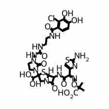 CC(C)(O/N=C(\C(=O)NC1C(=O)N2CC(C(O)O)(N3CCN(NC(=O)NCCNC(=O)c4ccc(O)c(O)c4Cl)C3=O)S[C@H]12)c1csc(N)n1)C(=O)O